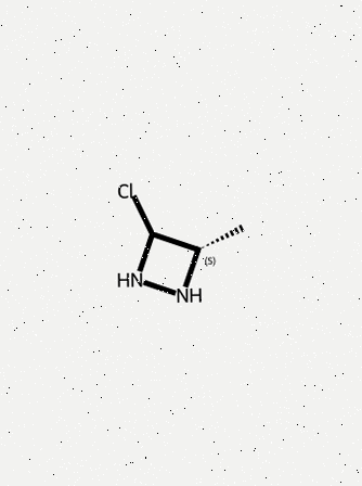 C[C@@H]1NNC1Cl